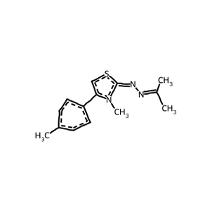 CC(C)=NN=c1scc(-c2ccc(C)cc2)n1C